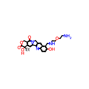 CCC1(O)C(=O)OCc2c1cc1n(c2=O)Cc2cc3c(CNCCOCCN)c(O)ccc3nc2-1